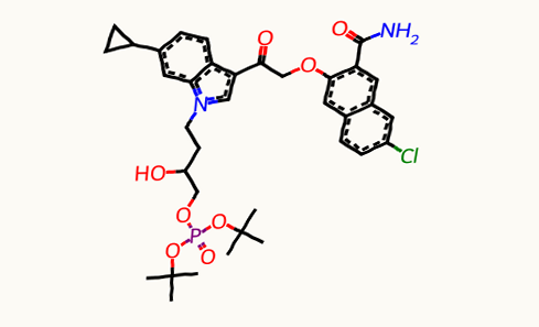 CC(C)(C)OP(=O)(OCC(O)CCn1cc(C(=O)COc2cc3ccc(Cl)cc3cc2C(N)=O)c2ccc(C3CC3)cc21)OC(C)(C)C